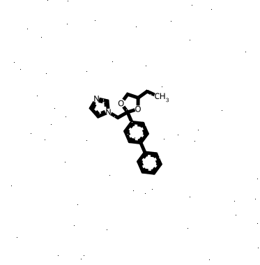 CCC1COC(Cn2ccnc2)(c2ccc(-c3ccccc3)cc2)O1